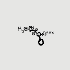 CCCCCCNC1CN(S(=O)(=O)c2cn(C)cn2)CC1c1ccccc1